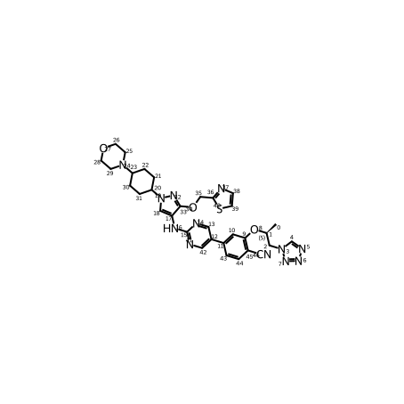 C[C@@H](Cn1cnnn1)Oc1cc(-c2cnc(Nc3cn(C4CCC(N5CCOCC5)CC4)nc3OCc3nccs3)nc2)ccc1C#N